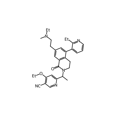 CCOc1cc(C(C)N2CCc3c(cc(CCN(C)CC)cc3-c3cccnc3CC)C2=O)ncc1C#N